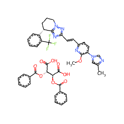 COc1nc(/C=C/c2nc3n(n2)CCC[C@H]3c2ccccc2C(F)(F)F)ccc1-n1cnc(C)c1.O=C(O[C@H](C(=O)O)[C@H](OC(=O)c1ccccc1)C(=O)O)c1ccccc1